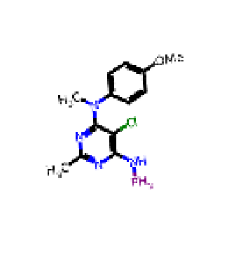 COc1ccc(N(C)c2nc(C)nc(NP)c2Cl)cc1